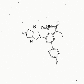 CCn1c(=O)[nH]c(=O)c2c(N3C[C@H]4CNC[C@H]4C3)cc(-c3ccc(F)cc3)cc21